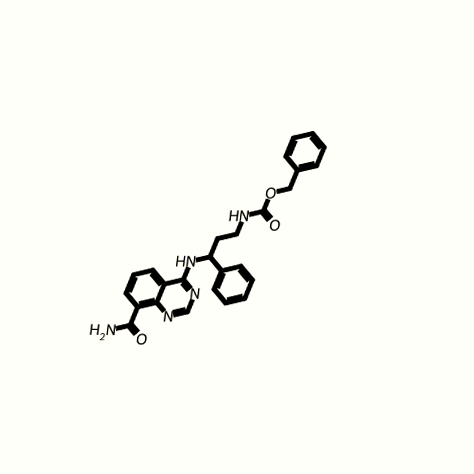 NC(=O)c1cccc2c(NC(CCNC(=O)OCc3ccccc3)c3ccccc3)ncnc12